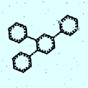 c1ccc(-c2ccc(-c3cnccn3)cc2-c2ccccc2)cc1